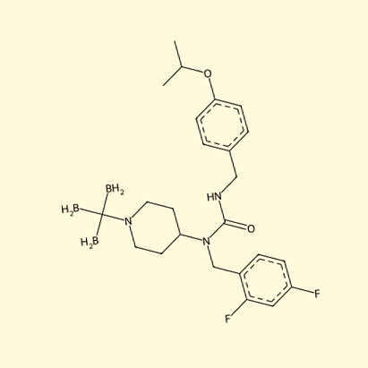 BC(B)(B)N1CCC(N(Cc2ccc(F)cc2F)C(=O)NCc2ccc(OC(C)C)cc2)CC1